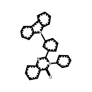 O=c1c2ccccc2nc(-c2cccc(-n3c4ccccc4c4ccccc43)c2)n1-c1ccccc1